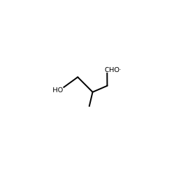 CC(CO)C[C]=O